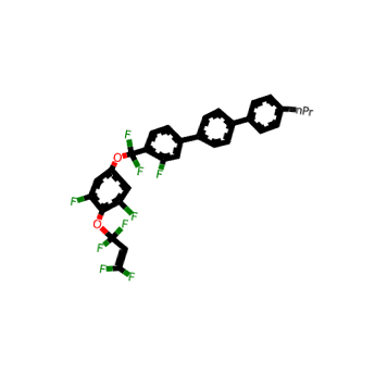 CCCc1ccc(-c2ccc(-c3ccc(C(F)(F)Oc4cc(F)c(OC(F)(F)C=C(F)F)c(F)c4)c(F)c3)cc2)cc1